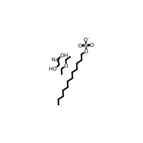 CCCCCCCCCCCCOS(=O)(=O)[O-].CCOCC.OCCO.[Na+]